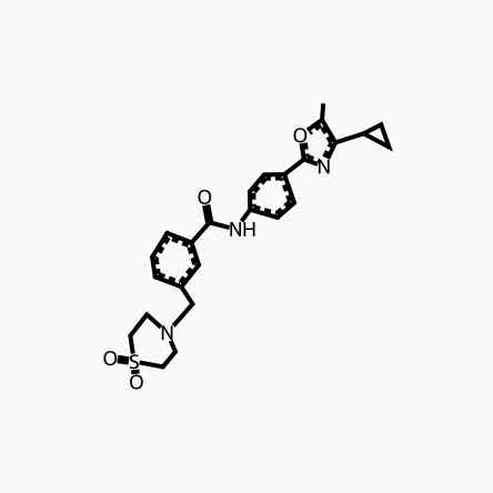 Cc1oc(-c2ccc(NC(=O)c3cccc(CN4CCS(=O)(=O)CC4)c3)cc2)nc1C1CC1